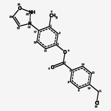 Cc1cc(OC(=O)c2ccc(CCl)cc2)ccc1N1C=CON1